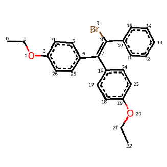 CCOc1ccc(C(=C(Br)c2ccccc2)c2ccc(OCC)cc2)cc1